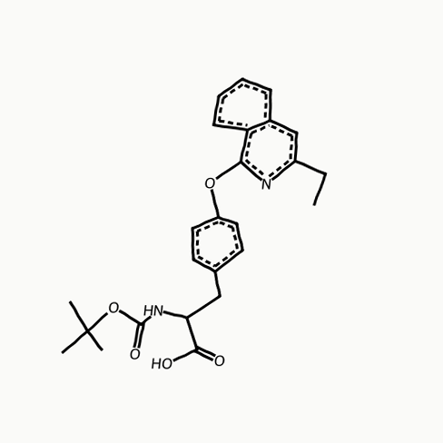 CCc1cc2ccccc2c(Oc2ccc(CC(NC(=O)OC(C)(C)C)C(=O)O)cc2)n1